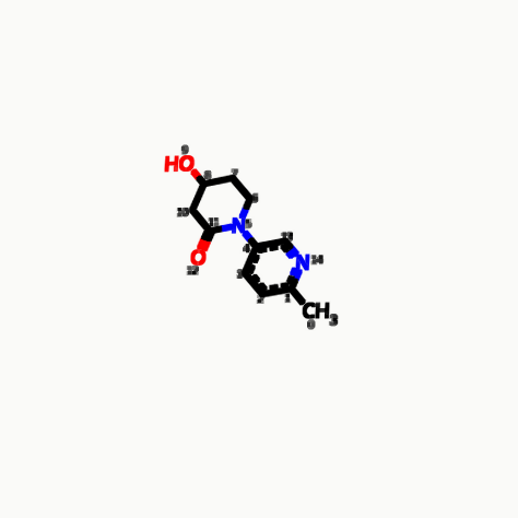 Cc1ccc(N2CCC(O)CC2=O)cn1